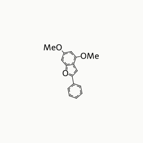 COc1cc(OC)c2cc(-c3ccccc3)oc2c1